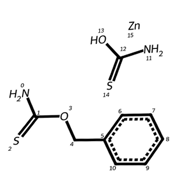 NC(=S)OCc1ccccc1.NC(O)=S.[Zn]